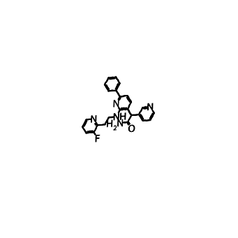 NC(=O)C(c1cccnc1)c1ccc(-c2ccccc2)nc1NCCc1ncccc1F